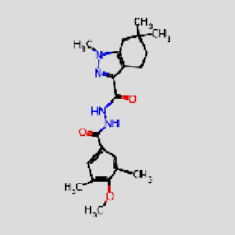 COc1c(C)cc(C(=O)NNC(=O)c2nn(C)c3c2CCC(C)(C)C3)cc1C